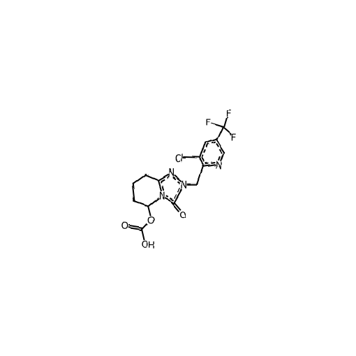 O=C(O)OC1CCCc2nn(Cc3ncc(C(F)(F)F)cc3Cl)c(=O)n21